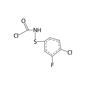 O=C(Cl)NSc1ccc(Cl)c(F)c1